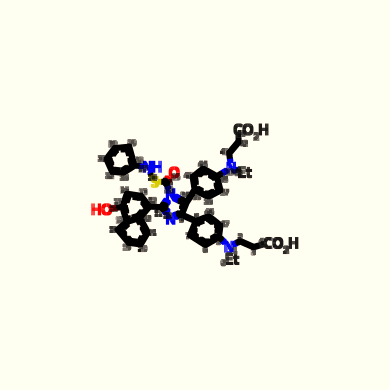 CCN(CCC(=O)O)c1ccc(-c2nc(-c3ccc(O)c4ccccc34)n(C(=O)SNc3ccccc3)c2-c2ccc(N(CC)CCC(=O)O)cc2)cc1